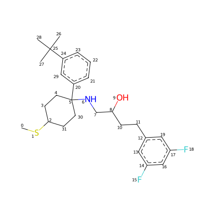 CSC1CCC(NCC(O)CCc2cc(F)cc(F)c2)(c2cccc(C(C)(C)C)c2)CC1